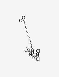 CCN(CC)c1nc2nc(Cl)nc(Cl)c2n1CCCCCCCCCCCCCCCC(=O)OC